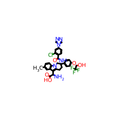 Cc1ccc2c(c1)c(C(N)C(=O)O)c1n2C[C@@](NC(=O)c2ccc(-n3cnnc3)cc2Cl)(c2ccccc2)CC1.O=C(O)C(F)(F)F